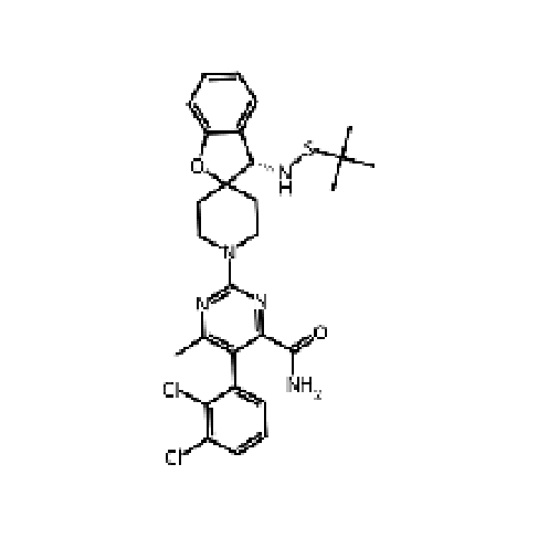 Cc1nc(N2CCC3(CC2)Oc2ccccc2[C@@H]3NSC(C)(C)C)nc(C(N)=O)c1-c1cccc(Cl)c1Cl